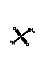 [2H]S(B)(=O)=O